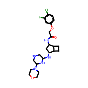 O=C(COc1ccc(Cl)c(F)c1)NC1C[C@H](NC2CNCC(N3CCOCC3)N2)C2CCC12